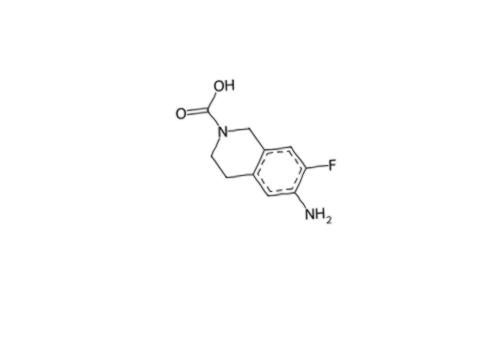 Nc1cc2c(cc1F)CN(C(=O)O)CC2